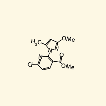 COC(=O)c1ccc(Cl)nc1-n1nc(OC)cc1C